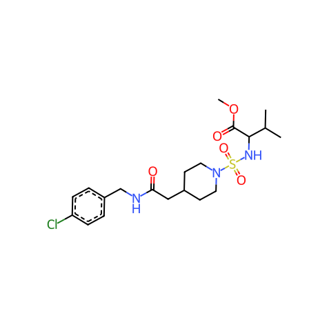 COC(=O)C(NS(=O)(=O)N1CCC(CC(=O)NCc2ccc(Cl)cc2)CC1)C(C)C